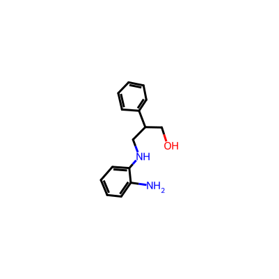 Nc1ccccc1NCC(CO)c1ccccc1